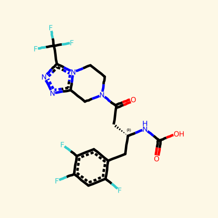 O=C(O)N[C@@H](CC(=O)N1CCn2c(nnc2C(F)(F)F)C1)Cc1cc(F)c(F)cc1F